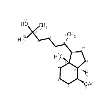 CC(=O)O[C@H]1CCC[C@]2(C)[C@@H]([C@@H](C)CCCC(C)(C)O)CC[C@@H]12